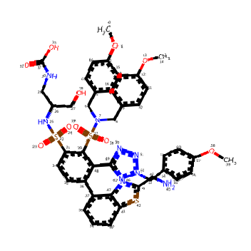 COc1ccc(CN(Cc2ccc(OC)cc2)S(=O)(=O)c2c(S(=O)(=O)NC(CO)CNC(=O)O)ccc(-c3cccc4sc(CN)nc34)c2-c2nnn(Cc3ccc(OC)cc3)n2)cc1